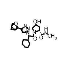 CNC(=O)[C@H]1CC(O)CN1C(=O)C(C1CCCCC1)n1cc(-c2ccco2)nn1